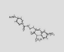 CC(=O)Nc1ccc(C(=O)OCCC(=Cc2cccc([N+](=O)[O-])c2)C(=O)CC(=O)O)cc1